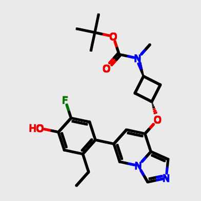 CCc1cc(O)c(F)cc1-c1cc(O[C@H]2C[C@H](N(C)C(=O)OC(C)(C)C)C2)c2cncn2c1